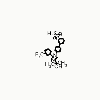 CC(C)(O)c1cn(-c2ccc(-c3cccc(S(C)(=O)=O)c3)cc2)c(-c2cccc(C(F)(F)F)c2)n1